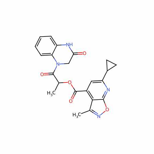 Cc1noc2nc(C3CC3)cc(C(=O)OC(C)C(=O)N3CC(=O)Nc4ccccc43)c12